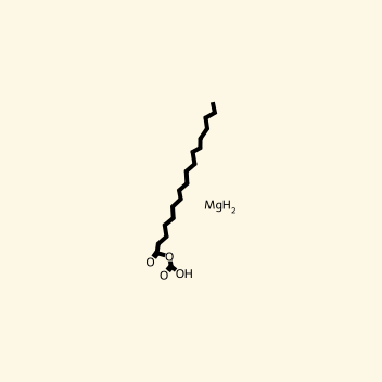 CCCCCCCCCCCCCCCCCC(=O)OC(=O)O.[MgH2]